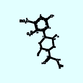 CCOC(=O)c1nc(Cl)nc(N2C[C@H](C)N(C(=O)OC(C)(C)C)C[C@@H]2C)c1[N+](=O)[O-]